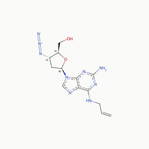 C=CCNc1nc(N)nc2c1ncn2[C@H]1C[C@H](N=[N+]=[N-])[C@@H](CO)O1